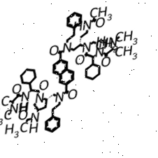 CCN(C(=O)[C@@H](NC(=O)[C@H](C)NC)C1CCCCC1)[C@@H](CCNC(C)=O)CN(CCc1ccccc1)C(=O)c1ccc2cc(C(=O)N(CCc3ccccc3)C[C@@H]3C[C@H](NC(C)=O)CN3C(=O)[C@@H](NC(=O)C(C)NC)C3CCCCC3)ccc2c1